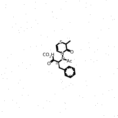 CC(=O)N([C@@H](Cc1ccccc1)C(=O)C(=O)O)N1C=CSC(C)C1=O